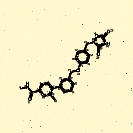 CNC(=O)c1ccc(-c2cccc(COc3ccc(Cn4oc(=O)[nH]c4=O)cc3)c2)c(C)c1